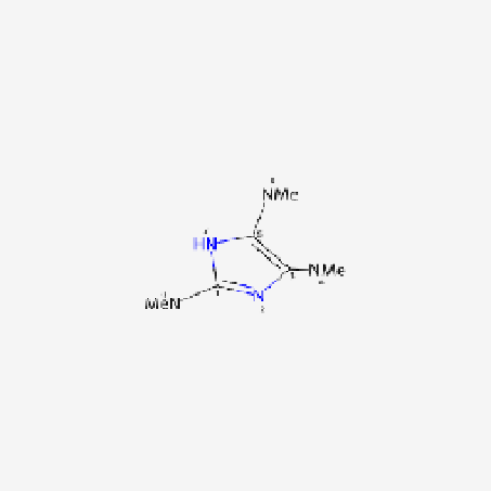 CNc1nc(NC)c(NC)[nH]1